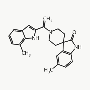 C=C(c1cc2cccc(C)c2[nH]1)N1CCC2(CC1)C(=O)Nc1ccc(C)cc12